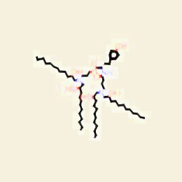 CCCCCCCCCCC(O)CN(CCCOC(=O)[C@H](CCc1ccc(O)cc1)NC(=O)CCCN(CC(O)CCCCCCCCCC)CC(O)CCCCCCCCCC)CC(O)CCCCCCCCCC